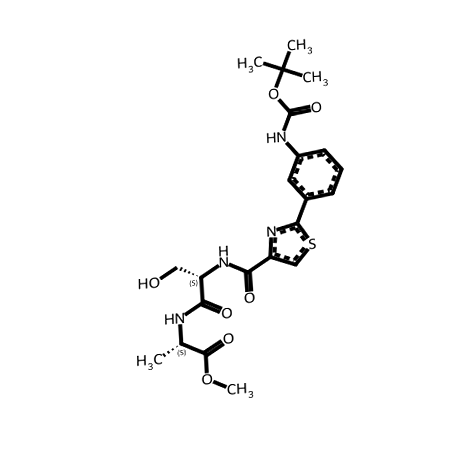 COC(=O)[C@H](C)NC(=O)[C@H](CO)NC(=O)c1csc(-c2cccc(NC(=O)OC(C)(C)C)c2)n1